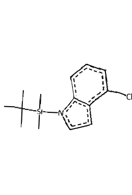 CC(C)(C)[Si](C)(C)n1ccc2c(Cl)cccc21